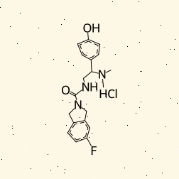 CN(C)C(CNC(=O)N1Cc2ccc(F)cc2C1)c1ccc(O)cc1.Cl